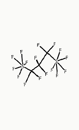 FC(F)(C(F)(F)S(F)(F)(F)(F)F)C(F)(F)S(F)(F)(F)(F)F